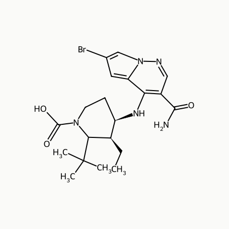 CC[C@H]1C(C(C)(C)C)N(C(=O)O)CC[C@H]1Nc1c(C(N)=O)cnn2cc(Br)cc12